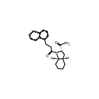 NC(=O)[C@@H]1C[C@@H]2CCCC[C@@H]2N1C(=O)CCc1cccc2ccccc12